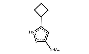 CC(=O)Nc1cc(C2CCC2)[nH]n1